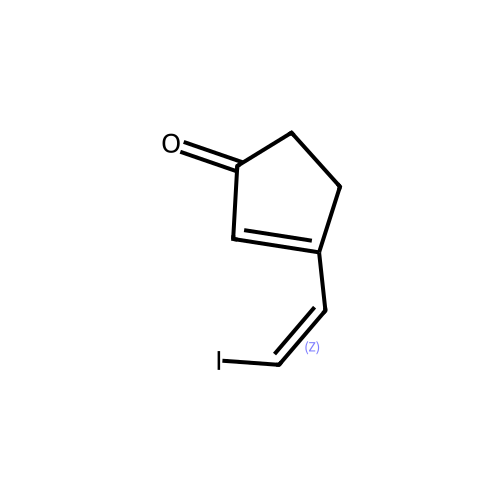 O=C1C=C(/C=C\I)CC1